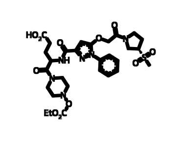 CCOC(=O)ON1CCN(C(=O)C(CCC(=O)O)NC(=O)c2cc(OCC(=O)N3CC[C@H](S(C)(=O)=O)C3)n(-c3ccccc3)n2)CC1